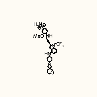 COc1cc(S(N)(=O)=O)ccc1NCC#Cc1cc2c(NC3CCC(N4CC5(CCCOC5)C4)CC3)cccc2n1CC(F)(F)F